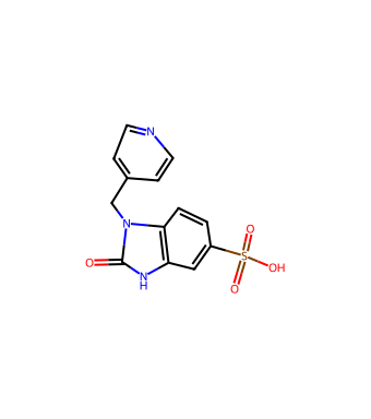 O=c1[nH]c2cc(S(=O)(=O)O)ccc2n1Cc1ccncc1